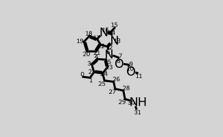 CCc1ccc(N(COCOC)c2nc(C)nc3ccccc23)cc1CCCCCNC